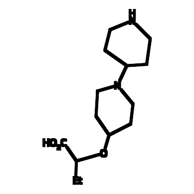 CCC(OC1CCN(C2CCNCC2)CC1)C(=O)O